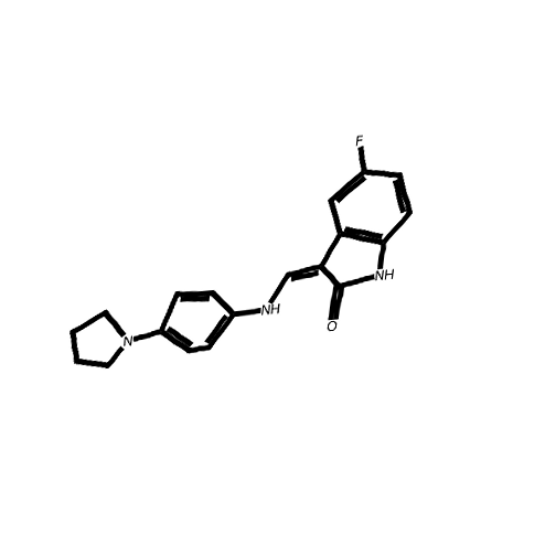 O=C1Nc2ccc(F)cc2C1=CNc1ccc(N2CCCC2)cc1